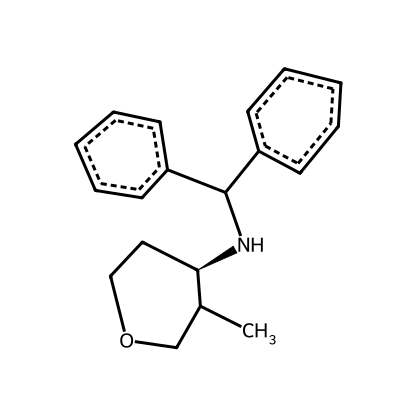 CC1COCC[C@H]1NC(c1ccccc1)c1ccccc1